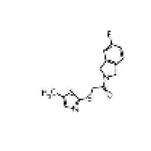 Cc1cnc(SCC(=O)N2Cc3ccc(F)cc3C2)s1